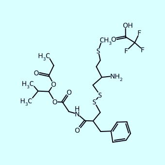 CCC(=O)OC(OC(=O)CNC(=O)C(CSSCC(N)CCSC)Cc1ccccc1)C(C)C.O=C(O)C(F)(F)F